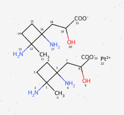 CC1(N)CCC1(N)CC(O)C(=O)[O-].CC1(N)CCC1(N)CC(O)C(=O)[O-].[Pt+2]